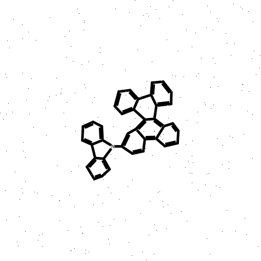 c1ccc2c(c1)c1ccccc1c1c3cc(-n4c5ccccc5c5ccccc54)ccc3c3ccccc3c21